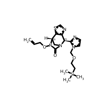 C=CCON1C(=O)N2C[C@H]1c1scnc1[C@H]2c1nccn1COCC[Si](C)(C)C